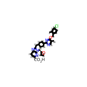 Cc1cc(Cl)ccc1COc1nc(C2=CCC(Cc3nc4ccc(C(=O)O)nc4n3C[C@@H]3CCO3)CC2)ncc1C